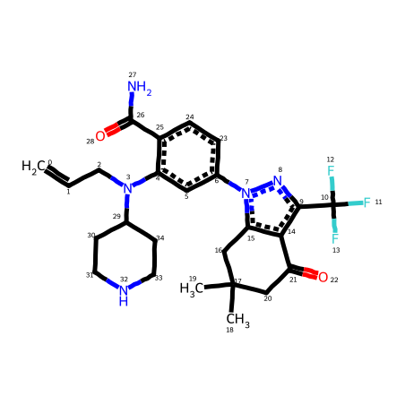 C=CCN(c1cc(-n2nc(C(F)(F)F)c3c2CC(C)(C)CC3=O)ccc1C(N)=O)C1CCNCC1